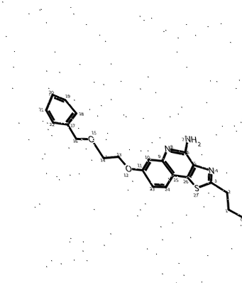 CCCc1nc2c(N)nc3cc(OCCOCc4ccccc4)ccc3c2s1